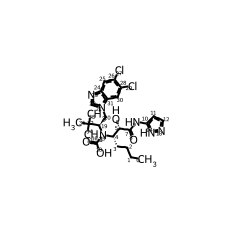 CCCC[C@@H]([C@H](O)C(=O)Nc1ccn[nH]1)N(C(=O)O)[C@H](Cn1cnc2cc(Cl)c(Cl)cc21)C(C)(C)C